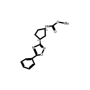 CC(C)(C)OC(=O)N[C@H]1CC[C@H](c2noc(-c3ccccc3)n2)C1